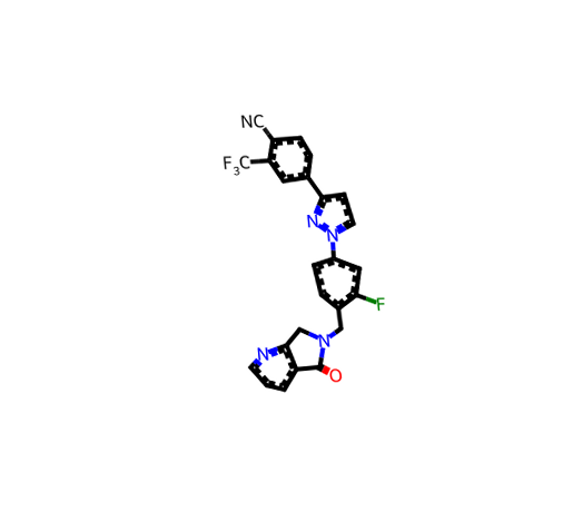 N#Cc1ccc(-c2ccn(-c3ccc(CN4Cc5ncccc5C4=O)c(F)c3)n2)cc1C(F)(F)F